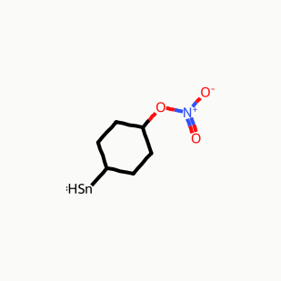 O=[N+]([O-])OC1CC[CH]([SnH])CC1